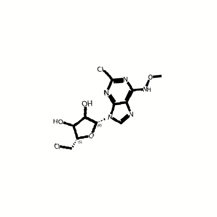 CONc1nc(Cl)nc2c1ncn2[C@@H]1O[C@H](CCl)C(O)C1O